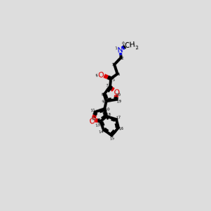 C=NCCCC(=O)c1cc(-c2coc3ccccc23)co1